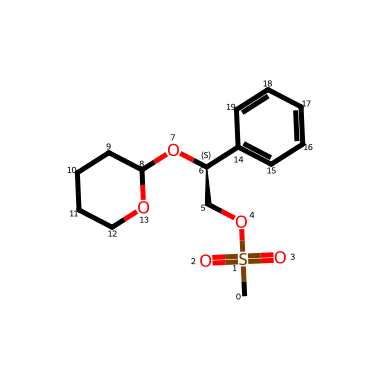 CS(=O)(=O)OC[C@@H](OC1CCCCO1)c1ccccc1